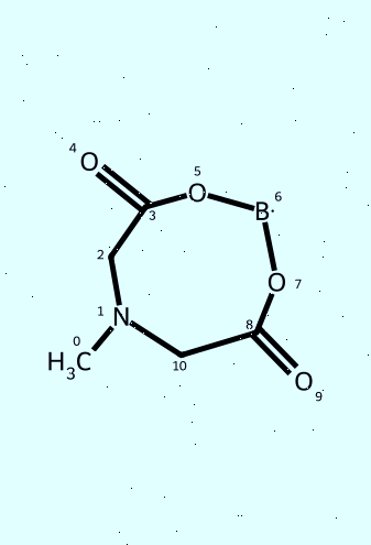 CN1CC(=O)O[B]OC(=O)C1